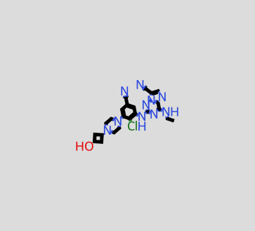 CCNc1nc(Nc2cc(C#N)cc(N3CCN([C@H]4C[C@@H](O)C4)CC3)c2Cl)nn2c(C#N)cnc12